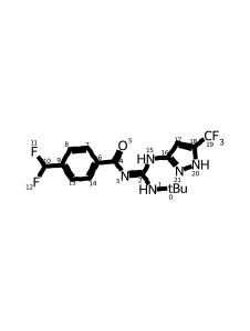 CC(C)(C)N/C(=N/C(=O)c1ccc(C(F)F)cc1)Nc1cc(C(F)(F)F)[nH]n1